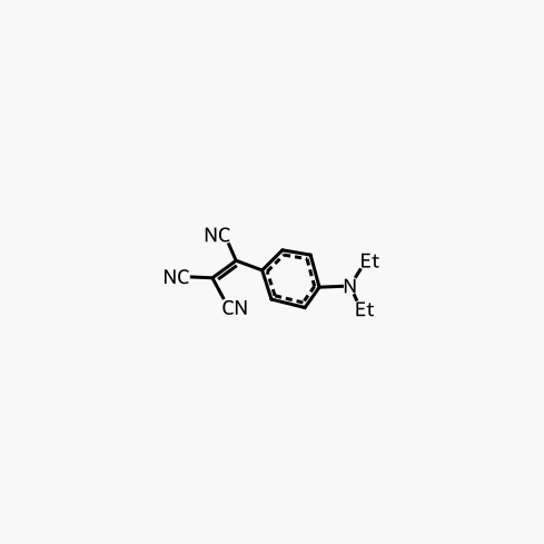 CCN(CC)c1ccc(C(C#N)=C(C#N)C#N)cc1